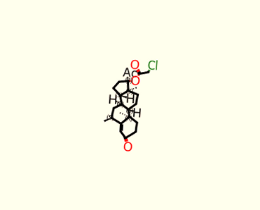 CC(=O)[C@@]1(OC(=O)CCl)CC[C@H]2[C@@H]3C[C@H](C)C4=CC(=O)CC[C@]4(C)[C@H]3CC[C@@]21C